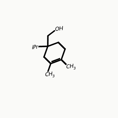 CC1=C(C)CC(CO)(C(C)C)CC1